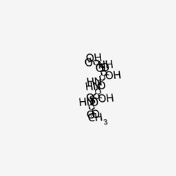 COC(=O)c1ccc(NS(=O)(=O)c2cc(O)c3ccc(NC(=O)Nc4ccc5c(O)cc(S(=O)(=O)Nc6ccc(C(=O)O)cc6)cc5c4)cc3c2)cc1